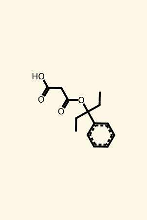 CCC(CC)(OC(=O)CC(=O)O)c1ccccc1